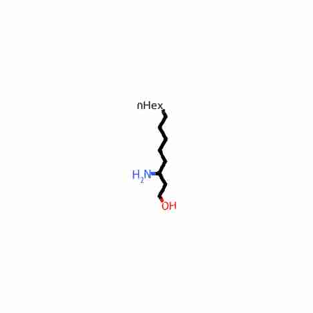 CCCCCCCCCCCC(N)CCO